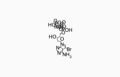 Nc1ncnc2c1c(Br)cn2[C@@H]1C[C@H](O)[C@@H](COP(=O)(O)OP(=O)(O)OP(=O)(O)O)O1